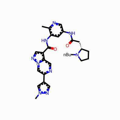 CCCCN1CCC[C@H]1CC(=O)Nc1cnc(C)c(NC(=O)c2cnn3cc(-c4cnn(C)c4)ncc23)c1